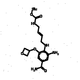 CC(C)(C)OC(=O)NC/C=C/CNc1c(N)cc(C(N)=O)cc1OC1COC1